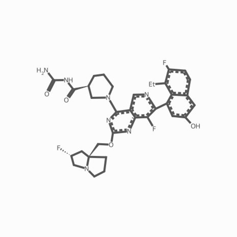 CCc1c(F)ccc2cc(O)cc(-c3ncc4c(N5CCC[C@H](C(=O)NC(N)=O)C5)nc(OC[C@@]56CCCN5C[C@H](F)C6)nc4c3F)c12